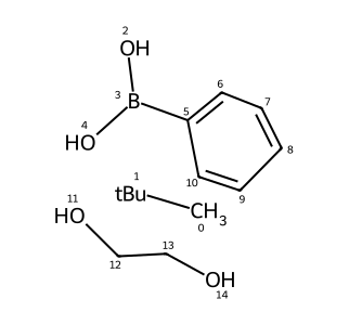 CC(C)(C)C.OB(O)c1ccccc1.OCCO